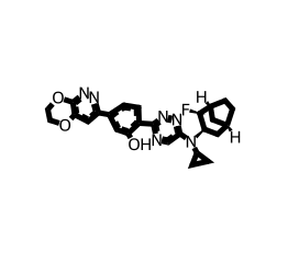 Oc1cc(-c2cc3c(nn2)OCCO3)ccc1-c1ncc(N(C2CC2)[C@@H]2C[C@H]3CC[C@H](C3)[C@@H]2F)nn1